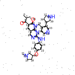 CC(C)C(=O)c1cc2cnc(Nc3ccc(OC4CCN(C)C4)cc3)nc2n(Cc2ccncc2C2CCNC2)c1=O